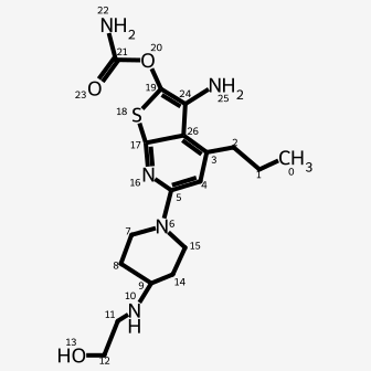 CCCc1cc(N2CCC(NCCO)CC2)nc2sc(OC(N)=O)c(N)c12